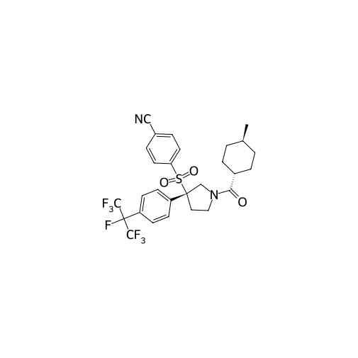 C[C@H]1CC[C@H](C(=O)N2CC[C@](c3ccc(C(F)(C(F)(F)F)C(F)(F)F)cc3)(S(=O)(=O)c3ccc(C#N)cc3)C2)CC1